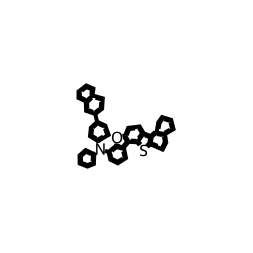 c1ccc(N(c2ccc(-c3ccc4ccccc4c3)cc2)c2cccc3c2oc2ccc4c(sc5ccc6ccccc6c54)c23)cc1